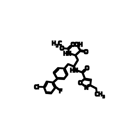 CCc1cc(C(=O)NC(Cc2ccc(-c3cc(Cl)ccc3F)cc2)CC(NC(=O)OC)C(=O)O)on1